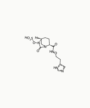 O=C(NOCCc1cnc[nH]1)[C@@H]1CC[C@@H]2CN1C(=O)N2OS(=O)(=O)O